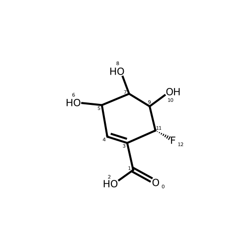 O=C(O)C1=CC(O)C(O)C(O)[C@@H]1F